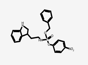 O=[N+]([O-])c1ccc(OP(=O)(NCCC2CNc3ccccc32)OCc2ccccc2)cc1